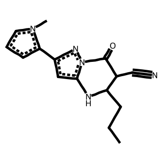 CCCC1Nc2cc(-c3cccn3C)nn2C(=O)C1C#N